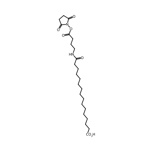 O=C(O)CCCCCCCCCCCCCCC(=O)NCCCC(=O)ON1C(=O)CCC1=O